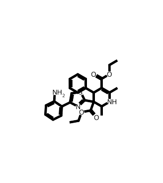 CCOC(=O)C1=C(C)NC(C)C(C(=O)OCC)(c2nc(-c3ccccc3N)cs2)C1c1ccccc1